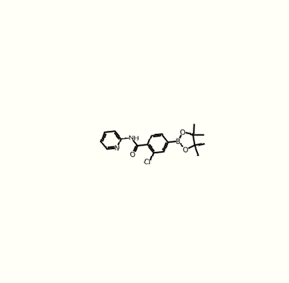 CC1(C)OB(c2ccc(C(=O)Nc3ccccn3)c(Cl)c2)OC1(C)C